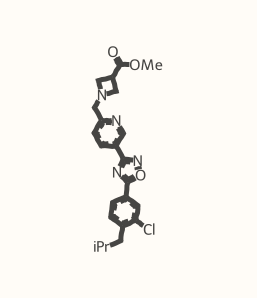 COC(=O)C1CN(Cc2ccc(-c3noc(-c4ccc(CC(C)C)c(Cl)c4)n3)cn2)C1